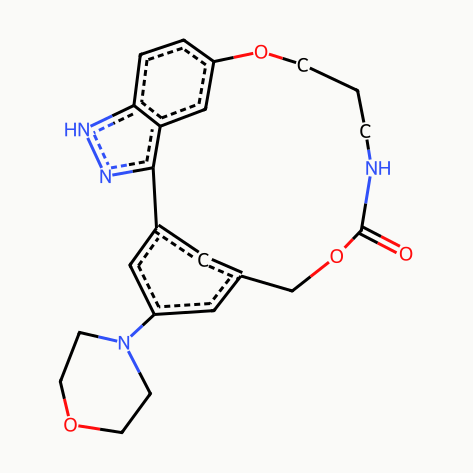 O=C1NCCCOc2ccc3[nH]nc(c3c2)-c2cc(cc(N3CCOCC3)c2)CO1